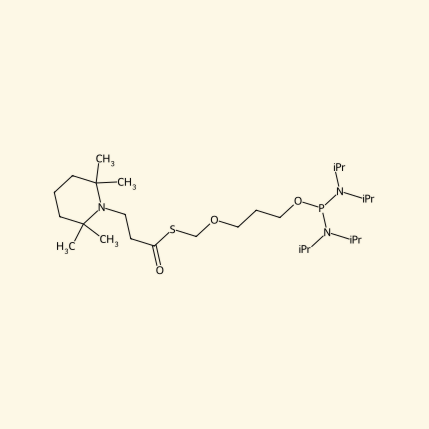 CC(C)N(C(C)C)P(OCCCOCSC(=O)CCN1C(C)(C)CCCC1(C)C)N(C(C)C)C(C)C